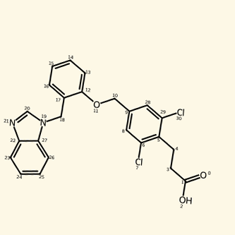 O=C(O)CCc1c(Cl)cc(COc2ccccc2Cn2cnc3ccccc32)cc1Cl